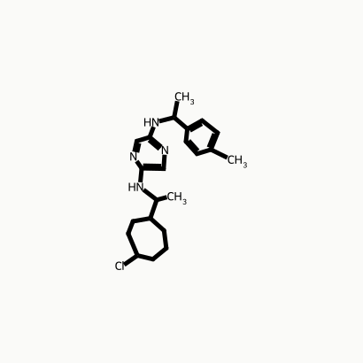 Cc1ccc(C(C)Nc2cnc(NC(C)C3CCCC(Cl)CC3)cn2)cc1